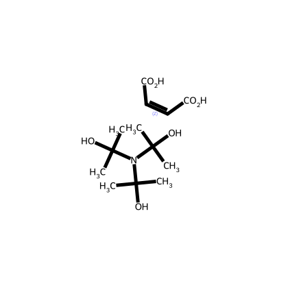 CC(C)(O)N(C(C)(C)O)C(C)(C)O.O=C(O)/C=C\C(=O)O